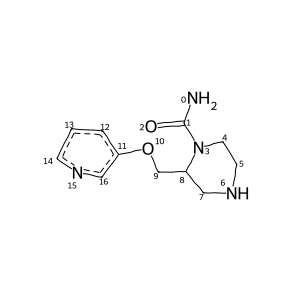 NC(=O)N1CCNCC1COc1cccnc1